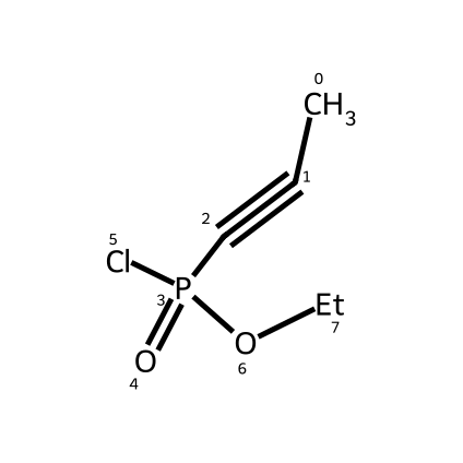 CC#CP(=O)(Cl)OCC